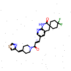 O=C(/C=C/c1cnc2c(c1)CC1(CCC(F)(F)CC1)C(=O)N2)N1CCC(=Cc2cscn2)CC1